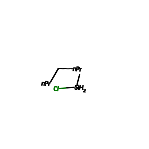 CCCCCCC.C[SiH2]Cl